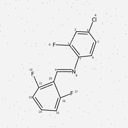 Fc1cc(Cl)ccc1/N=C/c1c(F)cccc1F